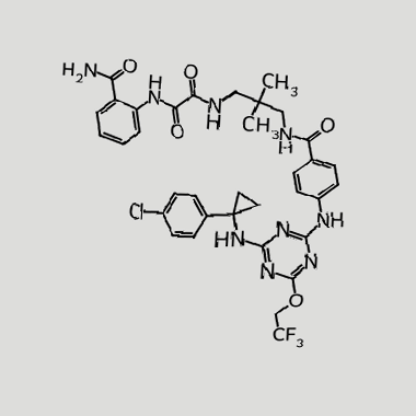 CC(C)(CNC(=O)C(=O)Nc1ccccc1C(N)=O)CNC(=O)c1ccc(Nc2nc(NC3(c4ccc(Cl)cc4)CC3)nc(OCC(F)(F)F)n2)cc1